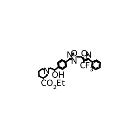 CCOC(=O)[C@H]1CCCN(C[C@@H](O)c2ccc(-c3noc(-c4onc(-c5ccccc5)c4C(F)(F)F)n3)cc2)C1